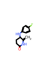 C=C1NC(=O)CCC1Nc1ccc(F)cc1